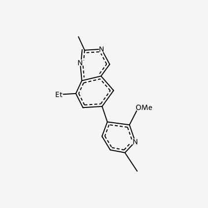 CCc1cc(-c2ccc(C)nc2OC)cc2cnc(C)nc12